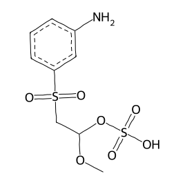 COC(CS(=O)(=O)c1cccc(N)c1)OS(=O)(=O)O